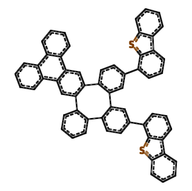 c1ccc2c(c1)-c1ccc(-c3cccc4c3sc3ccccc34)cc1-c1cc(-c3cccc4c3sc3ccccc34)ccc1-c1cc3c4ccccc4c4ccccc4c3cc1-2